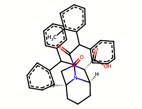 Cc1ccccc1C(C(=O)N1C[C@@H]2CCC[C@H]([C@H]1C(=O)O)N2C(=O)C(c1ccccc1)c1ccccc1)c1ccccc1